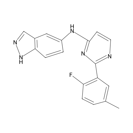 Cc1ccc(F)c(-c2nccc(Nc3ccc4[nH]ncc4c3)n2)c1